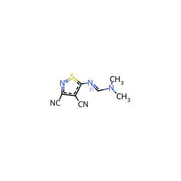 CN(C)/C=N/c1snc(C#N)c1C#N